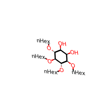 CCCCCCO[C@@H]1[C@@H](OCCCCCC)[C@H](OCCCCCC)[C@@H](O)[C@@H](O)[C@H]1OCCCCCC